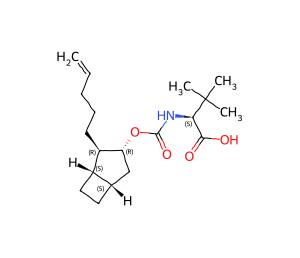 C=CCCC[C@@H]1[C@H]2CC[C@H]2C[C@H]1OC(=O)N[C@H](C(=O)O)C(C)(C)C